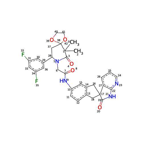 CC1(C)C(=O)N(CC(=O)Nc2ccc3c(c2)CC2(C3)C(=O)Nc3ncccc32)C(c2cc(F)cc(F)c2)CC12OCCO2